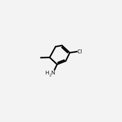 CC1CC=C(Cl)C=C1N